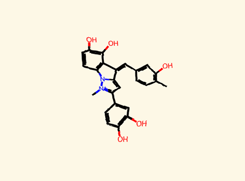 Cc1ccc(/C=c2/c3c(O)c(O)ccc3n3c2cc(-c2ccc(O)c(O)c2)[n+]3C)cc1O